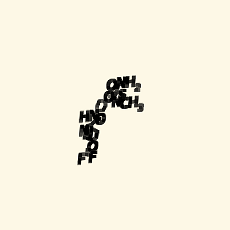 Cc1nc(O[C@H]2CC[C@H](NC(=O)c3cnn4cc(OCC(F)F)ccc34)CC2)c(C(N)=O)s1